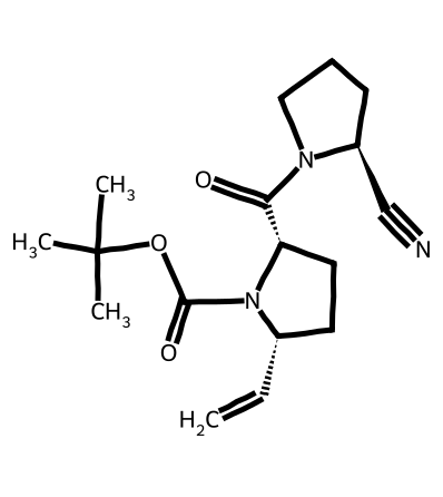 C=C[C@H]1CC[C@@H](C(=O)N2CCC[C@H]2C#N)N1C(=O)OC(C)(C)C